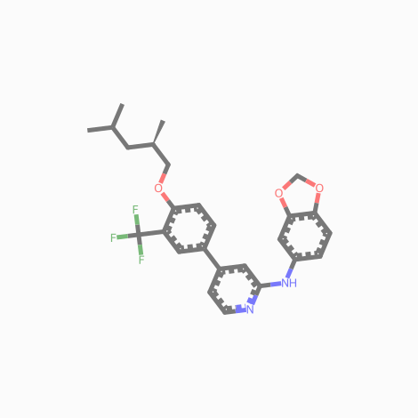 CC(C)C[C@@H](C)COc1ccc(-c2ccnc(Nc3ccc4c(c3)OCO4)c2)cc1C(F)(F)F